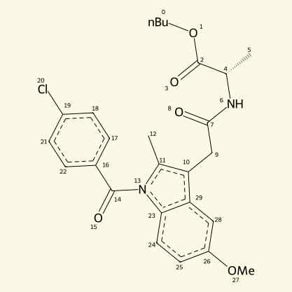 CCCCOC(=O)[C@H](C)NC(=O)Cc1c(C)n(C(=O)c2ccc(Cl)cc2)c2ccc(OC)cc12